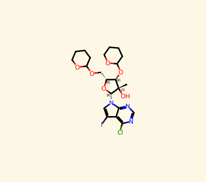 C[C@]1(O)[C@H](OC2CCCCO2)[C@@H](COC2CCCCO2)O[C@H]1n1cc(I)c2c(Cl)ncnc21